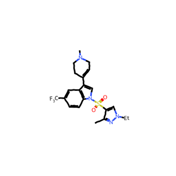 CCn1cc(S(=O)(=O)n2cc(C3=CCN(C)CC3)c3cc(C(F)(F)F)ccc32)c(C)n1